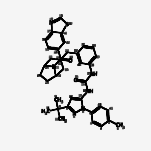 Cc1ccc(-n2nc(C(C)(C)C)cc2NC(=O)Nc2cccc(CC3CC4CCC(C3)N4C(=O)c3ccc4ncsc4c3)c2)cc1